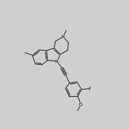 COc1ccc(C#Cn2c3c(c4cc(C)ccc42)CN(C)CC3)cc1F